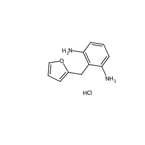 Cl.Nc1cccc(N)c1Cc1ccco1